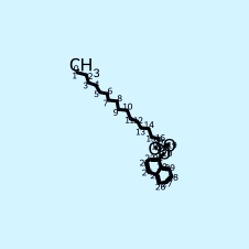 CCCCCCCCCCCCCCCCCS(=O)(=O)Oc1cccc2ccccc12